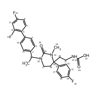 CC(c1ccc(-c2ccc(F)cc2F)cc1)N1CCC(CCNC(=O)O)(c2ccc(F)cc2)N(C)C1=O